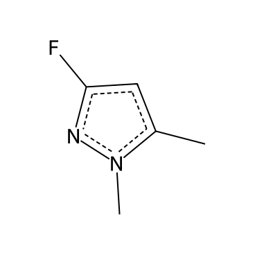 Cc1cc(F)nn1C